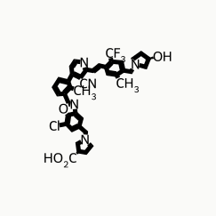 Cc1cc(/C=C/c2nccc(-c3cccc(-c4nc5cc(CN6CC[C@@H](C(=O)O)C6)cc(Cl)c5o4)c3C)c2C#N)c(C(F)(F)F)cc1CN1CC[C@@H](O)C1